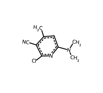 Cc1cc(N(C)C)nc(Cl)c1C#N